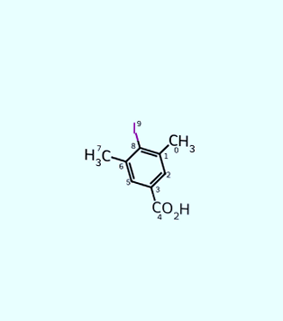 Cc1cc(C(=O)O)cc(C)c1I